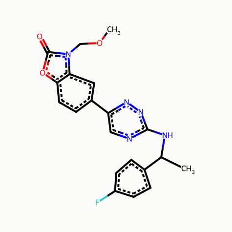 COCn1c(=O)oc2ccc(-c3cnc(NC(C)c4ccc(F)cc4)nn3)cc21